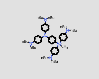 CCCCN(CCCC)c1ccc(N(c2ccc(N(CCCC)CCCC)cc2)c2ccc([N+](C)(c3ccc(N(CCCC)CCCC)cc3)c3ccc(N(CCCC)CCCC)cc3)cc2)cc1